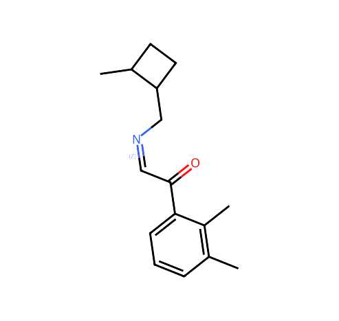 Cc1cccc(C(=O)/C=N\CC2CCC2C)c1C